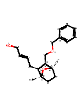 OCC=CC[C@H]1[C@@H](COCc2ccccc2)[C@H]2CC[C@@H]1O2